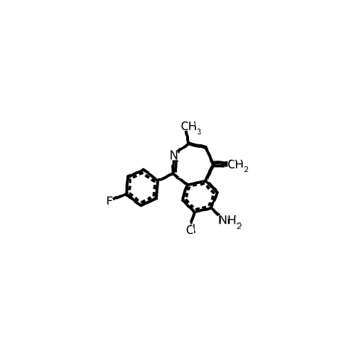 C=C1CC(C)N=C(c2ccc(F)cc2)c2cc(Cl)c(N)cc21